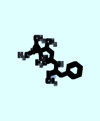 C=C(CC(C)C1(C)B(C)C1C)N/C(Cc1ccccc1)=N/C